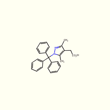 CCOC(=O)Cc1c(C)nn(C(c2ccccc2)(c2ccccc2)c2ccccc2)c1C